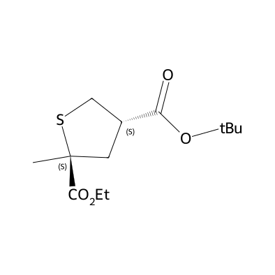 CCOC(=O)[C@]1(C)C[C@@H](C(=O)OC(C)(C)C)CS1